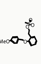 COc1ccc(COc2ccccc2CCOS(C)(=O)=O)cc1